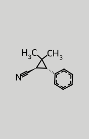 CC1(C)[C@H](C#N)[C@H]1c1ccccc1